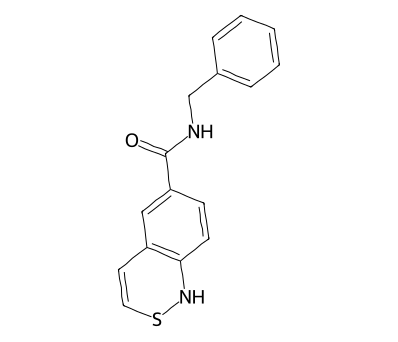 O=C(NCc1ccccc1)c1ccc2c(c1)C=CSN2